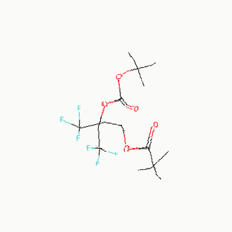 CC(C)(C)OC(=O)OC(COC(=O)C(C)(C)C)(C(F)(F)F)C(F)(F)F